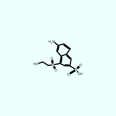 Nc1ccc2cc(S(=O)(=O)O)cc(S(=O)(=O)CCO)c2c1